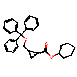 O=C(OC1CCCCC1)C1CC1COC(c1ccccc1)(c1ccccc1)c1ccccc1